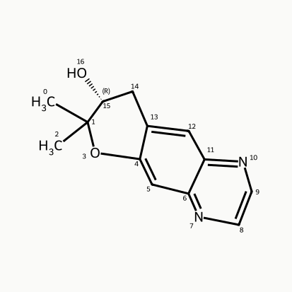 CC1(C)Oc2cc3nccnc3cc2C[C@H]1O